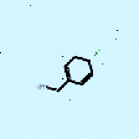 CC(C)CC1=CC[C@H](F)C=C1